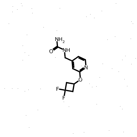 NC(=O)NCc1ccnc(OC2CC(F)(F)C2)c1